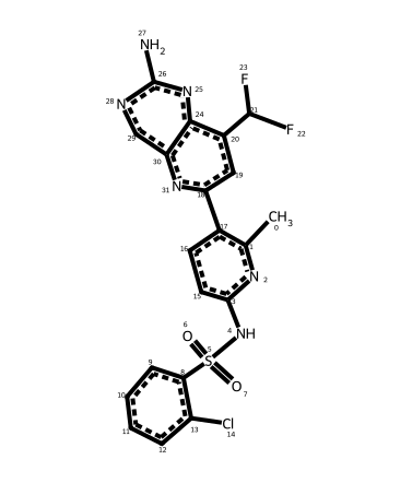 Cc1nc(NS(=O)(=O)c2ccccc2Cl)ccc1-c1cc(C(F)F)c2nc(N)ncc2n1